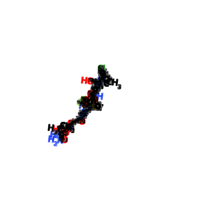 CC(C)[C@H](C(=O)C1(O)CNC(C(N)=O)C1)c1cc(OCCCCC(=O)N2CCN(CC[C@H](CSc3ccccc3)Nc3ccc(S(=O)(=O)NC(=O)c4ccc(N5CCN(CC6=C(c7ccc(Cl)cc7)CCC(C)(C)C6)C[C@@H]5CCO)cc4)cc3S(=O)(=O)C(F)(F)F)CC2)no1